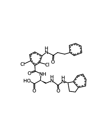 O=C(CCc1ccccc1)Nc1ccc(Cl)c(C(=O)N[C@@H](CNC(=O)N[C@@H]2CCc3ccccc32)C(=O)O)c1Cl